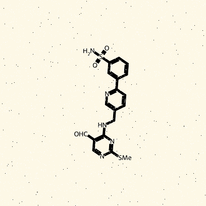 CSc1ncc(C=O)c(NCc2ccc(-c3cccc(S(N)(=O)=O)c3)nc2)n1